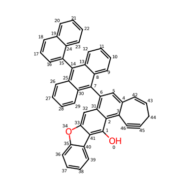 Oc1c2c3c(cc(-c4c5ccccc5c(-c5cccc6ccccc56)c5ccccc45)c2cc2oc4ccccc4c12)C=CCC#C3